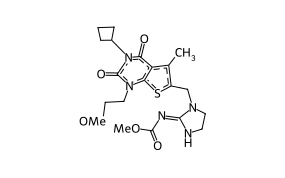 COCCn1c(=O)n(C2CCC2)c(=O)c2c(C)c(CN3CCNC3=NC(=O)OC)sc21